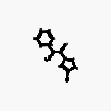 CN(C(=O)c1csc(Cl)n1)c1ccnnc1